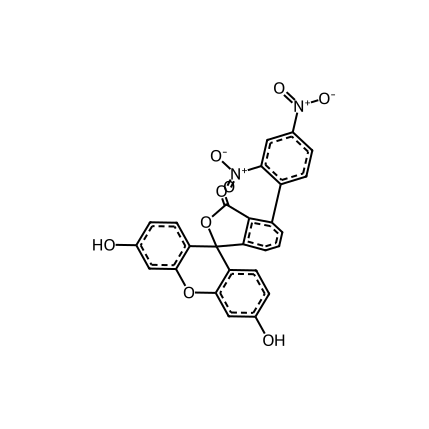 O=C1OC2(c3ccc(O)cc3Oc3cc(O)ccc32)c2cccc(-c3ccc([N+](=O)[O-])cc3[N+](=O)[O-])c21